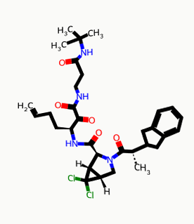 C=CCC[C@H](NC(=O)[C@@H]1[C@@H]2[C@H](CN1C(=O)[C@@H](C)C1Cc3ccccc3C1)C2(Cl)Cl)C(=O)C(=O)NCCC(=O)NC(C)(C)C